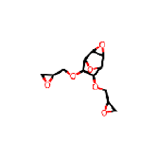 C1OC1COC1C(OCC2CO2)C2OC1C1OC21